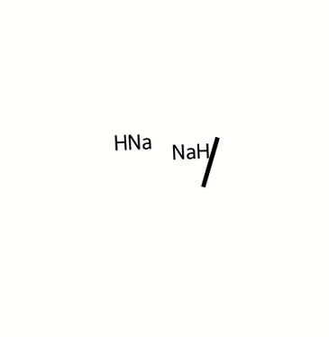 CC.[NaH].[NaH]